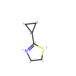 C1CSC(C2CC2)=N1